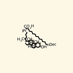 CC(C)CCC[C@@H](C)[C@H]1CC[C@H]2[C@@H]3CC=C4C[C@@H](O)CC[C@]4(C)[C@H]3CC[C@]12C.CCCCCCCCCCCCCCCCCCCCCCCC(=O)O